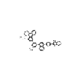 CC1CC=Cc2c1c1ccc(-c3cc(C#N)cc(-c4ccc(-c5ccc(-c6nc7ccccc7o6)cc5)c5ccccc45)c3)cc1c1ccccc21